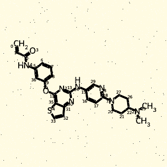 C=CC(=O)Nc1cccc(Oc2nc(Nc3ccc(N4CCC(N(C)C)CC4)nc3)nc3ccsc23)c1